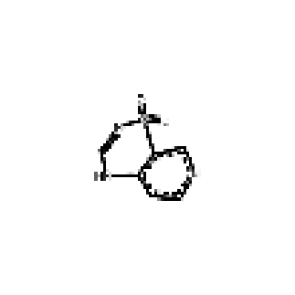 O=S1(=O)N=CNc2ccncc21